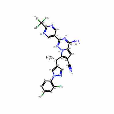 C[C@@H](c1cnn(-c2ccc(F)cc2F)c1)c1c(C#N)cc2c(N)nc(-c3cnc(C(F)(F)F)nc3)nn12